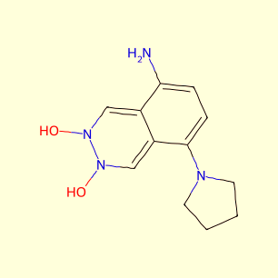 Nc1ccc(N2CCCC2)c2c1=CN(O)N(O)C=2